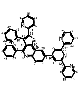 c1ccc(-c2nc3ccc(-c4cc(-c5ccccn5)nc(-c5ccccn5)c4)cc3c3sc(-c4ccccn4)c(-c4ccccn4)c23)cc1